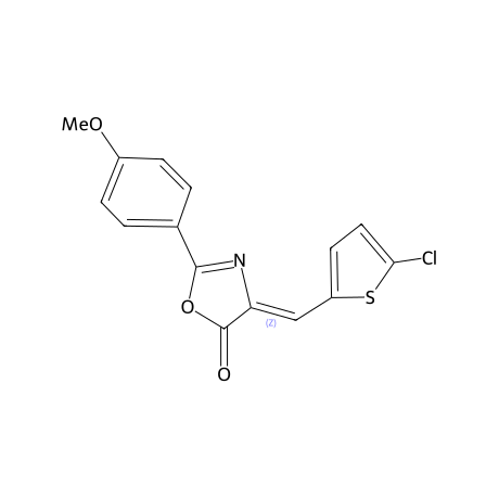 COc1ccc(C2=N/C(=C\c3ccc(Cl)s3)C(=O)O2)cc1